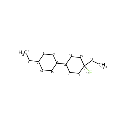 CCC1CCC(C2CCC(F)(CC)CC2)CC1